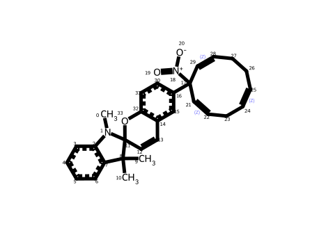 CN1c2ccccc2C(C)(C)C12C=Cc1cc(C3([N+](=O)[O-])/C=C\C/C=C\CC/C=C\3)ccc1O2